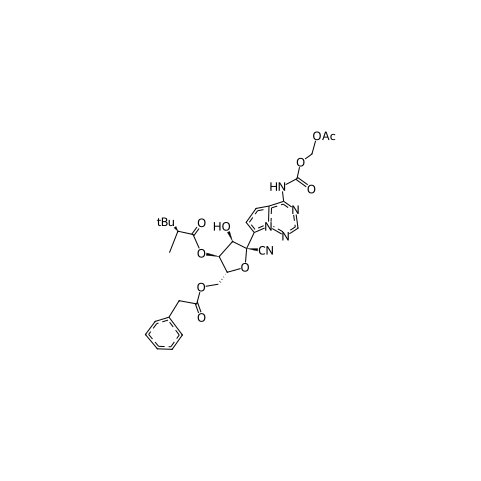 CC(=O)OCOC(=O)Nc1ncnn2c([C@]3(C#N)O[C@H](COC(=O)Cc4ccccc4)[C@@H](OC(=O)[C@@H](C)C(C)(C)C)[C@H]3O)ccc12